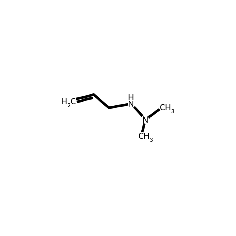 C=CCNN(C)C